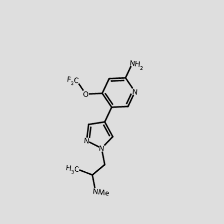 CNC(C)Cn1cc(-c2cnc(N)cc2OC(F)(F)F)cn1